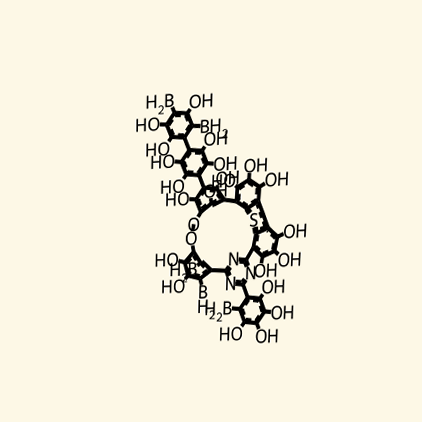 Bc1c(O)c(B)c(-c2c(O)c(O)c(-c3c(O)c4c(O)c(c3O)-c3c(O)c(O)c(O)c5c3sc3c(c(O)c(O)c(O)c35)-c3nc(nc(-c5c(B)c(O)c(O)c(O)c5O)n3)-c3c(B)c(O)c(O)c(c3B)OO4)c(O)c2O)c(O)c1O